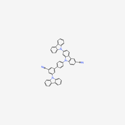 N#Cc1cc(-c2ccc(-n3c4ccc(C#N)cc4c4ccc(-n5c6ccccc6c6ccccc65)cc43)cc2)cc(-n2c3ccccc3c3ccccc32)c1